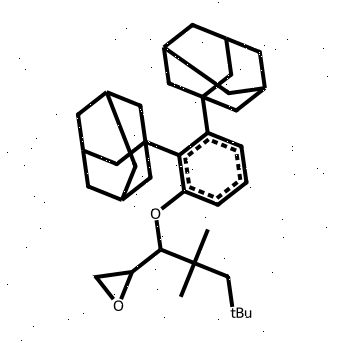 CC(C)(C)CC(C)(C)C(Oc1cccc(C23CC4CC(CC(C4)C2)C3)c1C12CC3CC(CC(C3)C1)C2)C1CO1